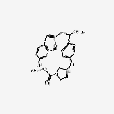 CC(C)(C)OC(=O)N1CC[C@H](Oc2ccc(C(Cc3cc4ccc(C#N)cc4[nH]3)C(=O)O)cc2)C1